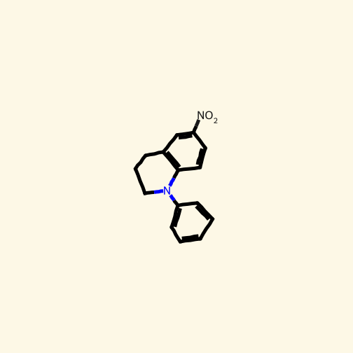 O=[N+]([O-])c1ccc2c(c1)CCCN2c1ccccc1